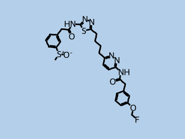 C[S+]([O-])c1cccc(CC(=O)Nc2nnc(CCCCc3ccc(NC(=O)Cc4cccc(OCF)c4)nn3)s2)c1